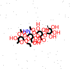 CCCOC1OC(C)C(O)C(OC(C)=O)C1OC1OC(CO)C(O)C(OC2OC(C(=O)O)C(O[C@@H]3O[C@@H](C)C(O)C(O)C3O)C(O)C2O)C1NC(C)=O